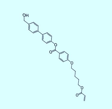 C=CC(=O)OCCCCCOc1ccc(C(=O)Oc2ccc(-c3ccc(CO)cc3)cc2)cc1